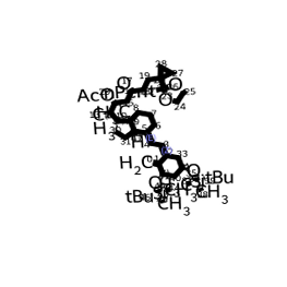 C=C1/C(=C\C=C2/CCC[C@]3(C)[C@@H]([C@H](C)C(CC(=O)CCC4(C5(CCCCC)OCCO5)CC4)OC(C)=O)CC[C@@H]23)C[C@@H](O[Si](C)(C)C(C)(C)C)C[C@@H]1O[Si](C)(C)C(C)(C)C